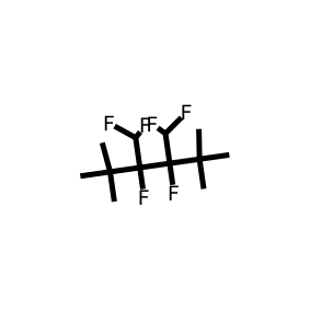 CC(C)(C)C(F)(C(F)F)C(F)(C(F)F)C(C)(C)C